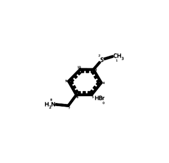 Br.CSc1ccc(CN)cc1